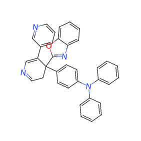 C1=NC=C(c2cccnc2)C(c2ccc(N(c3ccccc3)c3ccccc3)cc2)(c2nc3ccccc3o2)C1